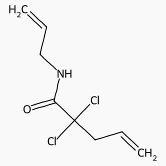 C=CCNC(=O)C(Cl)(Cl)CC=C